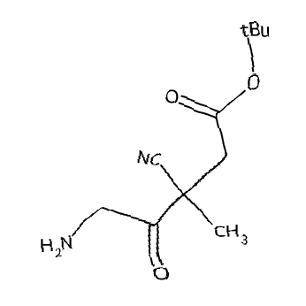 CC(C)(C)OC(=O)CC(C)(C#N)C(=O)CN